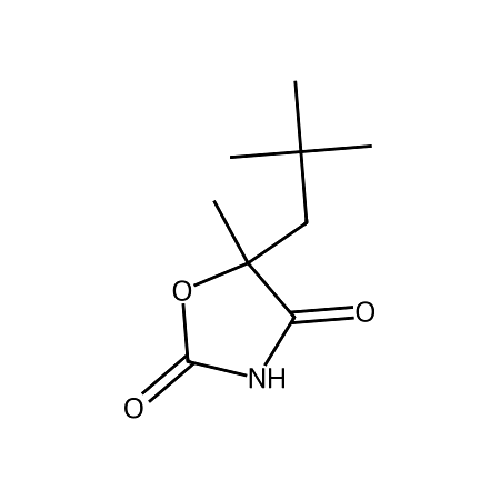 CC(C)(C)CC1(C)OC(=O)NC1=O